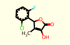 CC1=C(O)C(=O)OC1c1c(F)cccc1Cl